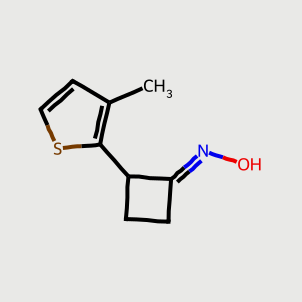 Cc1ccsc1C1CCC1=NO